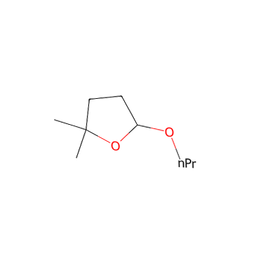 CCCOC1CCC(C)(C)O1